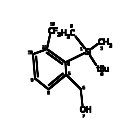 CC(C)(C)[Si](C)(C)c1c(CO)cccc1C(F)(F)F